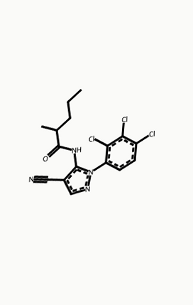 CCCC(C)C(=O)Nc1c(C#N)cnn1-c1ccc(Cl)c(Cl)c1Cl